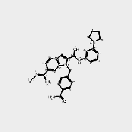 NC(=O)c1ccc(Cn2c(C(O)Nc3cccc(N4CCCC4)c3)cc3ccc(/C(N)=N/O)cc32)cc1